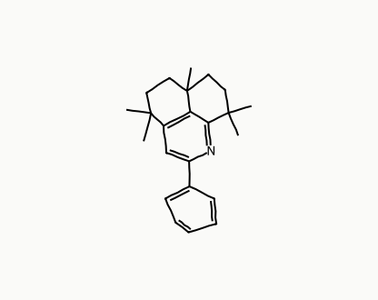 CC1(C)CCC2(C)CCC(C)(C)c3nc(-c4ccccc4)cc1c32